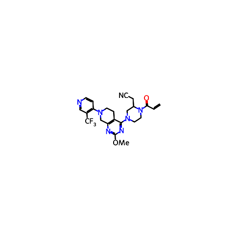 C=CC(=O)N1CCN(c2nc(OC)nc3c2CCN(c2ccncc2C(F)(F)F)C3)CC1CC#N